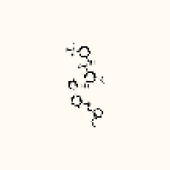 CCN1CCCC1CNc1cc(-n2ccnc2Nc2cc(OC)cc(C(=O)Nc3cccc(C(F)(F)F)c3)c2)ncn1